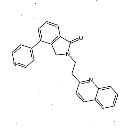 O=C1c2cccc(-c3ccncc3)c2CN1CCc1ccc2ccccc2n1